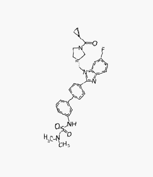 CN(C)S(=O)(=O)Nc1cccc(-c2ccc(-c3nc4ccc(F)cc4n3C[C@@H]3CCN(C(=O)C4CC4)C3)cc2)c1